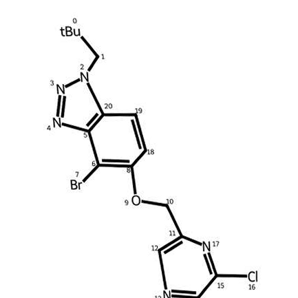 CC(C)(C)Cn1nnc2c(Br)c(OCc3cncc(Cl)n3)ccc21